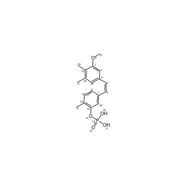 COc1cc(/C=C\c2ccc(C)c(OP(=O)(O)O)c2)cc(C)c1C